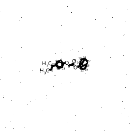 CCC(C)c1ccc(OCC(=O)OC2C3CC4CC(C3)CC2C4)cc1